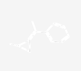 CC(=C1CC1C)c1ccccc1